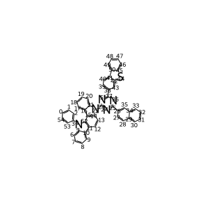 c1ccc(-n2c3ccccc3c3ccc4c(c5ccccc5n4-c4nc(-c5ccc6ccccc6c5)nc(-c5ccc6c(c5)sc5ccccc56)n4)c32)cc1